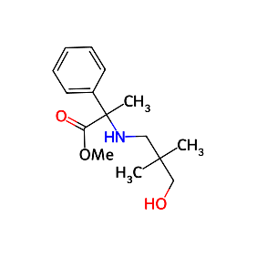 COC(=O)C(C)(NCC(C)(C)CO)c1ccccc1